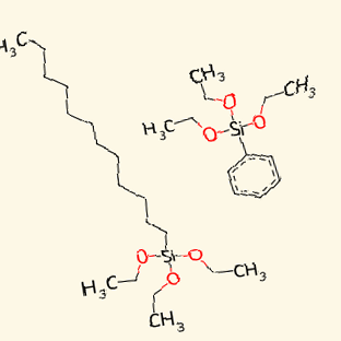 CCCCCCCCCCCC[Si](OCC)(OCC)OCC.CCO[Si](OCC)(OCC)c1ccccc1